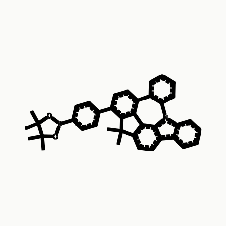 CC1(C)c2ccc3c4ccccc4n4c3c2-c2c(ccc(-c3ccc(B5OC(C)(C)C(C)(C)O5)cc3)c21)-c1ccccc1-4